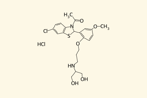 COc1ccc(OCCCNC(CO)CO)c(C2Sc3cc(Cl)ccc3N2C(C)=O)c1.Cl